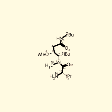 CCCCNC(=O)C[C@@H](OC)[C@H]([C@@H](C)CC)N(C)C(=O)[C@@H](N)C(C)C